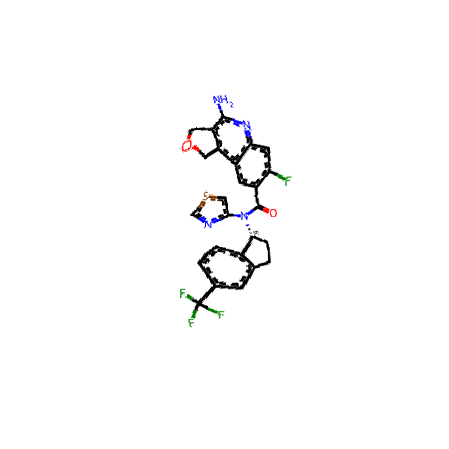 Nc1nc2cc(F)c(C(=O)N(c3cscn3)[C@@H]3CCc4cc(C(F)(F)F)ccc43)cc2c2c1COC2